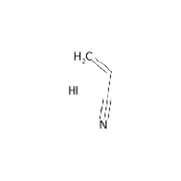 C=CC#N.I